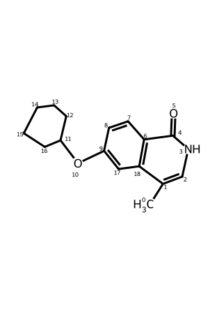 Cc1c[nH]c(=O)c2ccc(OC3CCCCC3)cc12